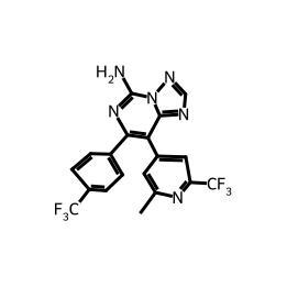 Cc1cc(-c2c(-c3ccc(C(F)(F)F)cc3)nc(N)n3ncnc23)cc(C(F)(F)F)n1